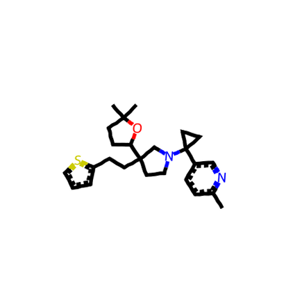 Cc1ccc(C2(N3CCC(CCc4cccs4)(C4CCC(C)(C)O4)C3)CC2)cn1